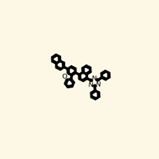 c1ccc(-c2nc(-c3ccccc3)nc(-c3ccc(-c4ccc(-c5ccc6ccccc6c5)c5oc6ccccc6c45)c4ccccc34)n2)cc1